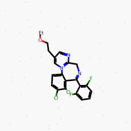 CCOCCc1cnc2[n+](c1)-c1ccc(Cl)c(Cl)c1C(c1c(F)cccc1F)=NC2